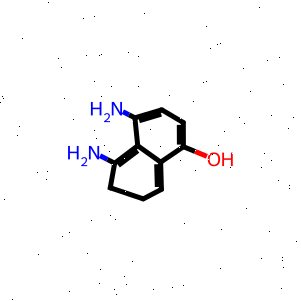 NC1=c2c(N)ccc(O)c2=CCC1